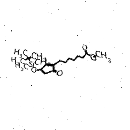 COC(=O)CCCCCCC1=CC(O[Si](C)(C)C(C)(C)C)CC1=O